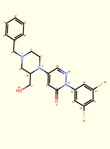 O=c1cc(N2CCN(Cc3ccccc3)CC2CO)cnn1-c1cc(F)cc(F)c1